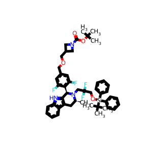 C[C@@H]1Cc2c([nH]c3ccccc23)[C@@H](c2c(F)cc(COCC3CN(C(=O)OC(C)(C)C)C3)cc2F)N1CC(F)(F)CO[Si](c1ccccc1)(c1ccccc1)C(C)(C)C